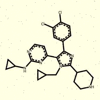 Clc1ccc(-c2nc(C3CCNCC3)n(CC3CC3)c2-c2ccnc(NC3CC3)n2)cc1Cl